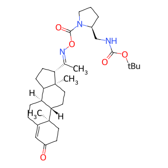 C/C(=N\OC(=O)N1CCC[C@H]1CNC(=O)OC(C)(C)C)[C@H]1CCC2[C@@H]3CCC4=CC(=O)CC[C@]4(C)[C@H]3CC[C@@]21C